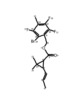 CC=CC1C(C(=O)OCc2c(F)c(F)c(C)c(F)c2Br)C1(C)C